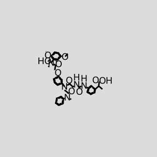 COc1ccc(OC)c([N+](C)(O)C(=O)COc2cccc(N(CC(=O)N(C)c3ccccc3)C(=O)CNC(=O)Nc3cccc(C(C)C(=O)O)c3)c2)c1